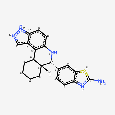 Nc1nc2ccc([C@H]3Nc4ccc5[nH]ncc5c4C4CCCC[C@H]43)cc2s1